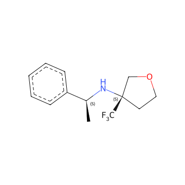 C[C@H](N[C@@]1(C(F)(F)F)CCOC1)c1ccccc1